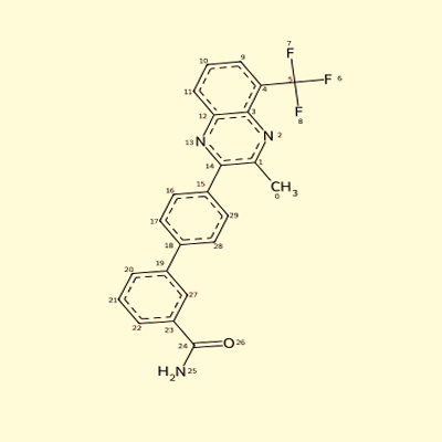 Cc1nc2c(C(F)(F)F)cccc2nc1-c1ccc(-c2cccc(C(N)=O)c2)cc1